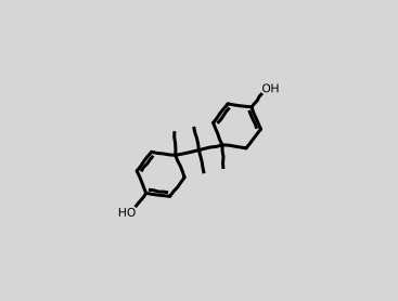 CC1(C(C)(C)C2(C)C=CC(O)=CC2)C=CC(O)=CC1